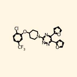 FC(F)(F)c1ccc(Cl)c(OC2CCN(c3nnc(-c4ccco4)c(-c4ccco4)n3)CC2)c1